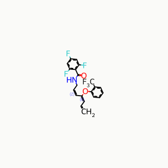 C=C/C=C(\C=C/CNC(=O)c1c(F)cc(F)cc1F)Oc1ccccc1C(F)(F)F